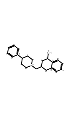 OC1CC(CN2CCC(c3ccccc3)CC2)Cc2ccccc21